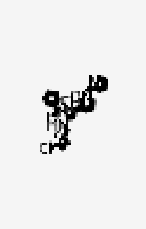 O=C(c1ccccc1Cl)n1nc(-c2cccn(Cc3ccccn3)c2=O)cc1NCc1ccc(Cl)s1